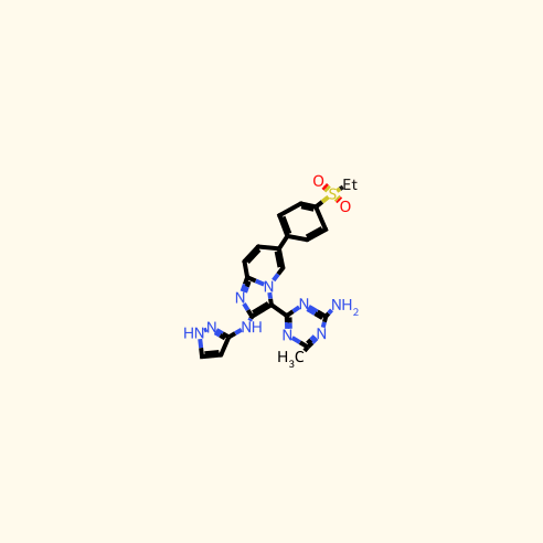 CCS(=O)(=O)c1ccc(-c2ccc3nc(Nc4cc[nH]n4)c(-c4nc(C)nc(N)n4)n3c2)cc1